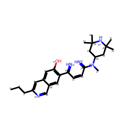 CCCc1cc2cc(O)c(C(=N)/C=C\C(=N)N(C)C3CC(C)(C)NC(C)(C)C3)cc2cn1